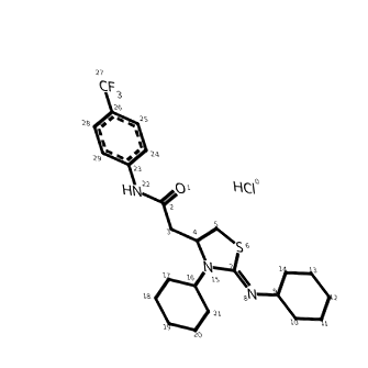 Cl.O=C(CC1CSC(=NC2CCCCC2)N1C1CCCCC1)Nc1ccc(C(F)(F)F)cc1